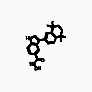 CC1(C)CCC(C)(C)c2cc(-c3c[nH]c4ccc(C(=O)NO)cc34)ccc21